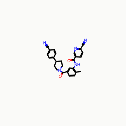 Cc1ccc(C(=O)N2CCC(c3ccc(C#N)cc3)CC2)cc1NC(=O)c1ccc(C#N)nc1